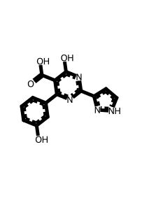 O=C(O)c1c(O)nc(-c2cc[nH]n2)nc1-c1cccc(O)c1